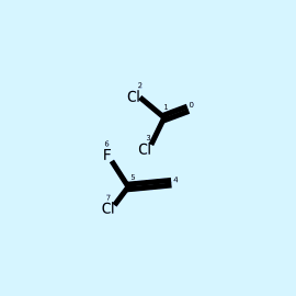 C=C(Cl)Cl.C=C(F)Cl